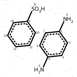 Nc1ccc(N)cc1.O=S(=O)(O)c1ccccc1